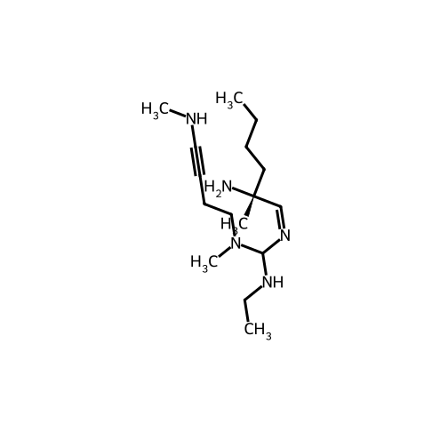 CCCC[C@@](C)(N)/C=N\C(NCC)N(C)CCC#CNC